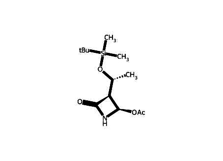 CC(=O)O[C@H]1NC(=O)[C@H]1[C@@H](C)O[Si](C)(C)C(C)(C)C